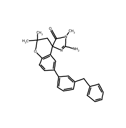 CN1C(=O)C2(CC(C)(C)Oc3ccc(-c4cccc(Cc5ccccc5)c4)cc32)N=C1N